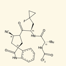 CC(C)(C)[C@H](NC(=O)C(F)(F)F)C(=O)N[C@H](CC1(F)CC1)C(=O)C1C[C@]2(C[C@H]1C#N)C(=O)Nc1ccccc12